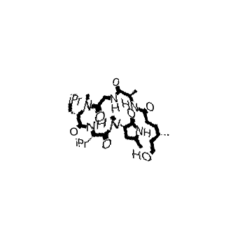 CC(C)C[C@@H](C(=O)N[C@H](C(=O)N(C)[C@H]1CC(C)NC1=O)C(C)C)N(C)C(=O)CNC(=O)[C@@H](C)NC(=O)CC[C@H](C)CCO